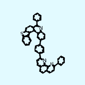 c1ccc(-c2ccc3ccc4ccc(-c5ccc(-c6ccc7nc(-c8ccccc8)c8ccc9sc%10ccccc%10c9c8c7c6)cc5)nc4c3n2)cc1